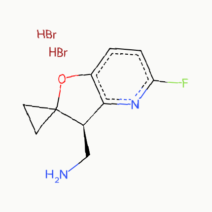 Br.Br.NC[C@@H]1c2nc(F)ccc2OC12CC2